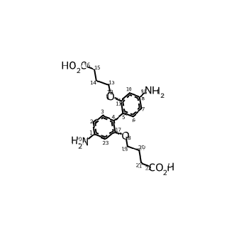 Nc1ccc(-c2ccc(N)cc2OCCCC(=O)O)c(OCCCC(=O)O)c1